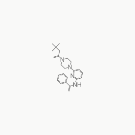 C=C(Nc1cccc(N2CCN(C(=C)CC(C)(C)C)CC2)n1)c1ccccc1